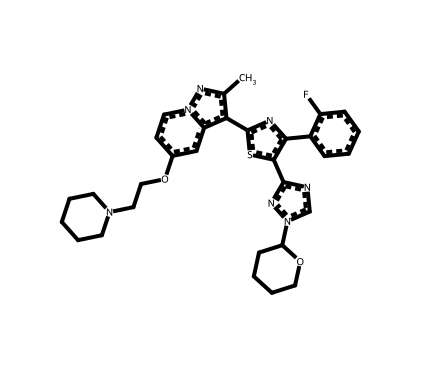 Cc1nn2ccc(OCCN3CCCCC3)cc2c1-c1nc(-c2ccccc2F)c(-c2ncn(C3CCCCO3)n2)s1